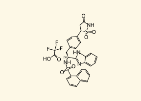 O=C(O)C(F)(F)F.O=C1CC(c2ccc(C[C@H](NS(=O)(=O)c3cccc4ccccc34)c3nc4ccccc4[nH]3)cc2)S(=O)(=O)N1